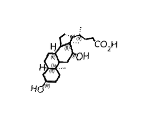 C[C@H](CCC(=O)O)[C@H]1CCC2[C@@H]3CC[C@@H]4C[C@H](O)CC[C@]4(C)C3C[C@H](O)[C@@]21C